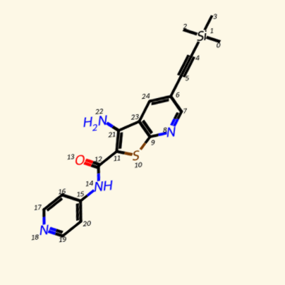 C[Si](C)(C)C#Cc1cnc2sc(C(=O)Nc3ccncc3)c(N)c2c1